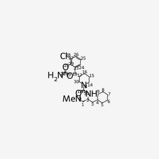 CNC[C@H](CC1CCCCC1)NC(=O)N1CCC[C@@H](C(OC(N)=O)c2cccc(Cl)c2)C1